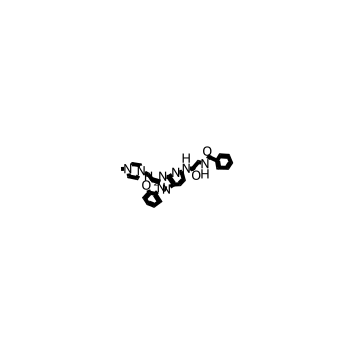 C=C(CN1CCN(C)CC1)Oc1ccccc1/N=N/c1ccc(NC(=O)CNC(=O)c2ccccc2)nc1N